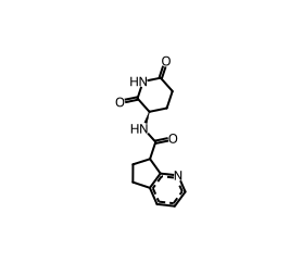 O=C1CC[C@@H](NC(=O)C2CCc3cccnc32)C(=O)N1